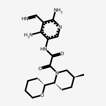 C[C@H]1CC[C@H]([C@H]2CCCCO2)N(C(=O)C(=O)Nc2cnc(N)c(C=N)c2N)C1